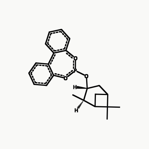 C[C@@H]1C2CC(C[C@H]1Op1oc3ccccc3c3ccccc3o1)C2(C)C